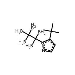 BC(B)(B)C(B)(B)n1nccc1C(C)(C)C